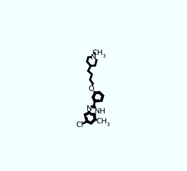 Cc1cc(Cl)cc2nc(-c3cccc(OCCCCC4CCN(C)CC4)c3)[nH]c12